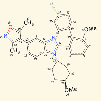 COc1cccc(-c2nc3cc(-c4c(C)noc4C)ccc3n2[C@H]2CC[C@H](OC)CC2)c1-c1ccc(F)cc1